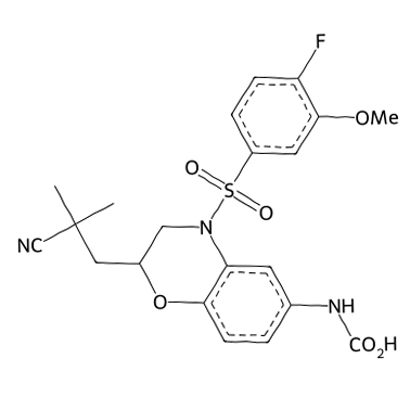 COc1cc(S(=O)(=O)N2CC(CC(C)(C)C#N)Oc3ccc(NC(=O)O)cc32)ccc1F